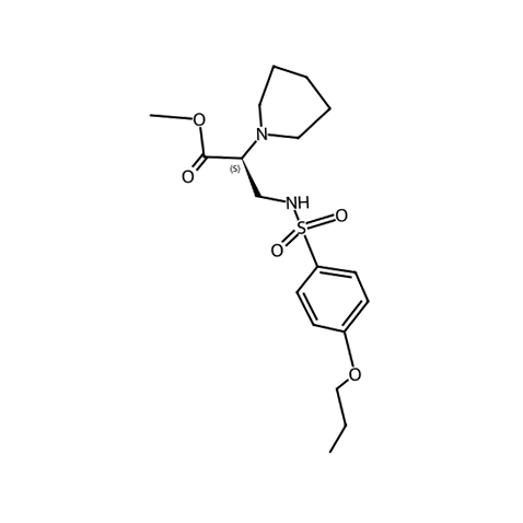 CCCOc1ccc(S(=O)(=O)NC[C@@H](C(=O)OC)N2CCCCC2)cc1